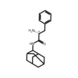 N[C@H](Cc1ccccc1)C(=O)NC1C2CC3CC(C2)CC1C3